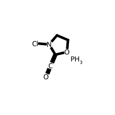 O=C=C1OCCN1Cl.P